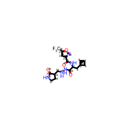 O=C(NC(CC12CC(C1)C2)C(=O)NNCC1CCNC1=O)c1cc(C(F)(F)F)on1